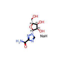 NC(=O)c1ncn([C@@H]2O[C@H](CO)[C@@H](O)[C@H]2O)n1.[NaH]